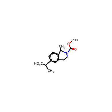 CC(C(=O)O)c1ccc2c(c1)CCN(C(=O)OC(C)(C)C)C2C